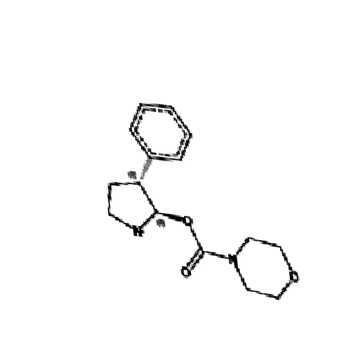 O=C(O[C@H]1[N]CC[C@@H]1c1ccccc1)N1CCOCC1